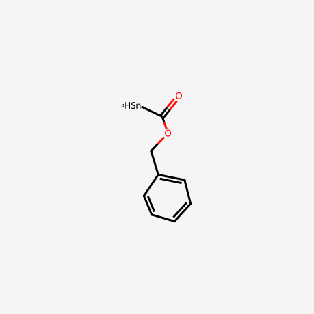 O=[C]([SnH])OCc1ccccc1